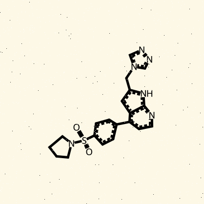 O=S(=O)(c1ccc(-c2ccnc3[nH]c(Cn4cnnc4)cc23)cc1)N1CCCC1